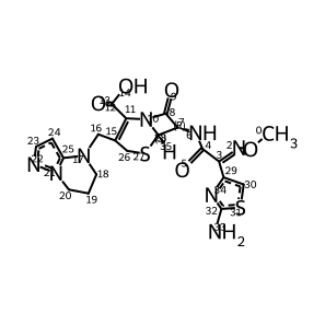 CON=C(C(=O)N[C@@H]1C(=O)N2C(C(=O)O)=C(CN3CCCn4nccc43)CS[C@@H]12)c1csc(N)n1